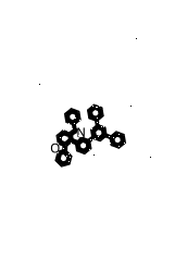 c1ccc(-c2cc(-c3ccccc3)cc(-c3cccc4c3nc(-c3ccccc3)c3ccc5oc6ccccc6c5c34)c2)cc1